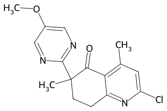 COc1cnc(C2(C)CCc3nc(Cl)cc(C)c3C2=O)nc1